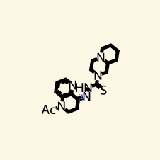 CC(=O)N1CC/C(=N/NC(=S)N2CCN3CCCCC3C2)c2ncccc21